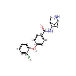 O=C(NC1CC2CC1CN2)c1ccc(Oc2ccccc2F)cc1